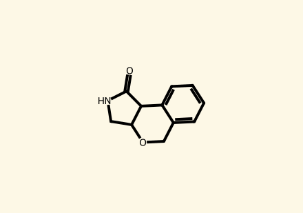 O=C1NCC2OCc3ccccc3C12